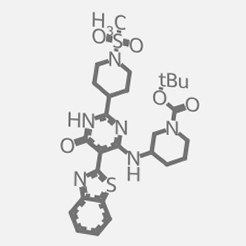 CC(C)(C)OC(=O)N1CCCC(Nc2nc(C3CCN(S(C)(=O)=O)CC3)[nH]c(=O)c2-c2nc3ccccc3s2)C1